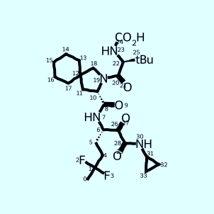 CC(F)(F)CC[C@H](NC(=O)[C@@H]1CC2(CCCCC2)CN1C(=O)[C@@H](NC(=O)O)C(C)(C)C)C(=O)C(=O)NC1CC1